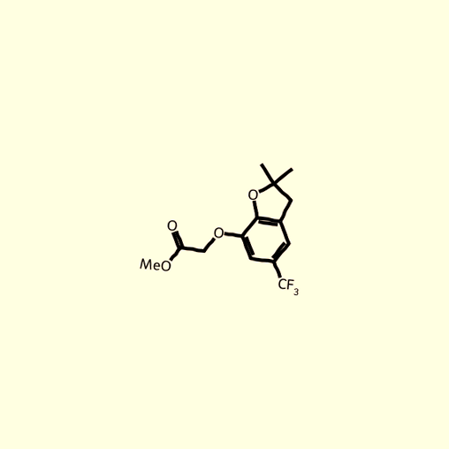 COC(=O)COc1cc(C(F)(F)F)cc2c1OC(C)(C)C2